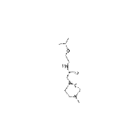 CC(C)OCCNC(=O)CN1CCN(C)CC1